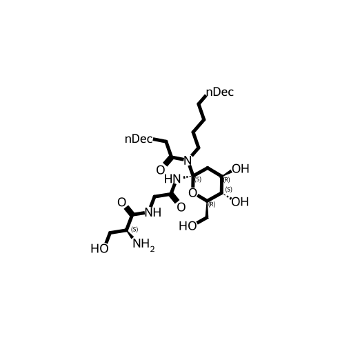 CCCCCCCCCCCCCCN(C(=O)CCCCCCCCCCC)[C@@]1(NC(=O)CNC(=O)[C@@H](N)CO)C[C@@H](O)[C@H](O)[C@@H](CO)O1